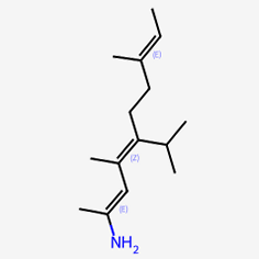 C/C=C(\C)CC/C(=C(C)/C=C(\C)N)C(C)C